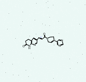 O=C1CCc2cc(/C=C/C(=O)N3CC=C(c4cncnc4)CC3)cnc2N1